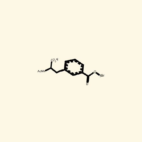 CC(=O)NC(Cc1cccc(C(=O)OC(C)(C)C)c1)C(=O)O